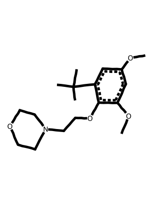 COc1cc(OC)c(OCCN2CCOCC2)c(C(C)(C)C)c1